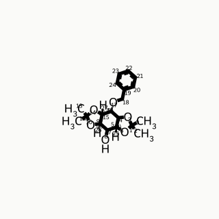 CC1(C)OC2[C@H](O1)C(O)[C@H]1OC(C)(C)O[C@@H]1[C@@H]2OCc1ccccc1